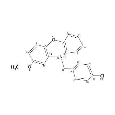 COc1ccc(Oc2ccccc2)c(NCc2ccc(Cl)cc2)c1